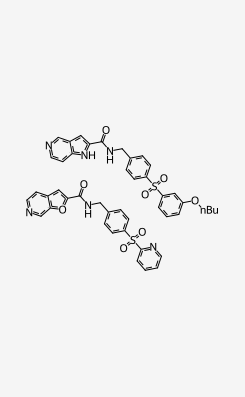 CCCCOc1cccc(S(=O)(=O)c2ccc(CNC(=O)c3cc4cnccc4[nH]3)cc2)c1.O=C(NCc1ccc(S(=O)(=O)c2ccccn2)cc1)c1cc2ccncc2o1